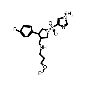 CCOCCCNCC1CN(S(=O)(=O)c2cn(C)cn2)CC1c1ccc(F)cc1